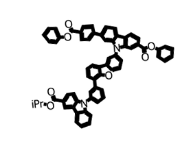 CC(C)OC(=O)c1ccc2c(c1)c1ccccc1n2-c1cccc(-c2cccc3c2oc2ccc(-n4c5cc(C(=O)Oc6ccccc6)ccc5c5ccc(-c6ccc(C(=O)Oc7ccccc7)cc6)cc54)cc23)c1